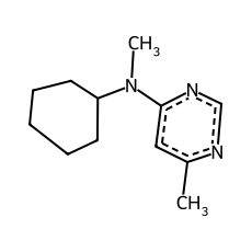 Cc1cc(N(C)C2CCCCC2)ncn1